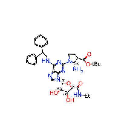 CCNC(=O)[C@H]1O[C@@H](n2cnc3c(NCC(c4ccccc4)c4ccccc4)nc(N4CCC(C(=O)OC(C)(C)C)[C@@H]4N)nc32)[C@H](O)[C@@H]1O